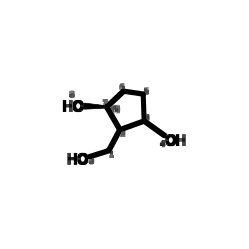 OCC1C(O)CC[C@@H]1O